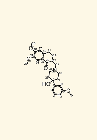 COc1cccc(C2(O)CCN(CC3CCc4cc(OC)c(OC)cc4C3=O)CC2)c1